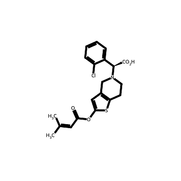 CC(C)=CC(=O)Oc1cc2c(s1)CCN([C@H](C(=O)O)c1ccccc1Cl)C2